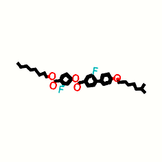 CCCCCCCCOC(=O)c1ccc(OC(=O)c2ccc(-c3ccc(OCCCCCC(C)C)cc3)c(F)c2)cc1F